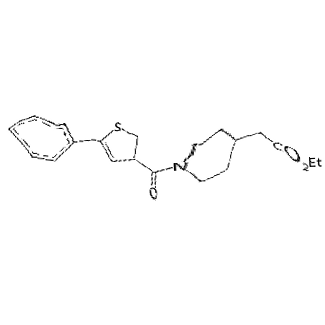 CCOC(=O)CC1CCN(C(=O)C2C=C(c3ccccc3)SC2)CC1